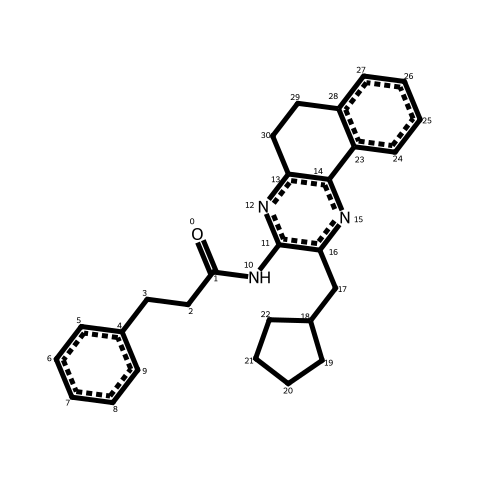 O=C(CCc1ccccc1)Nc1nc2c(nc1CC1CCCC1)-c1ccccc1CC2